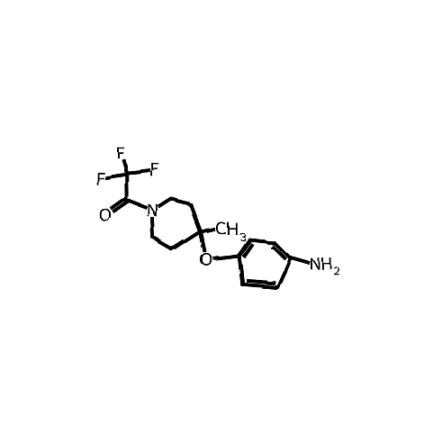 CC1(Oc2ccc(N)cc2)CCN(C(=O)C(F)(F)F)CC1